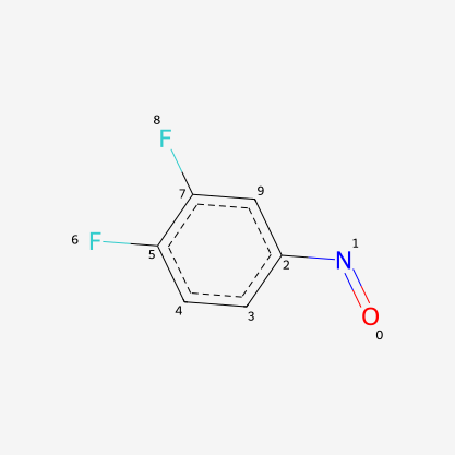 O=Nc1ccc(F)c(F)c1